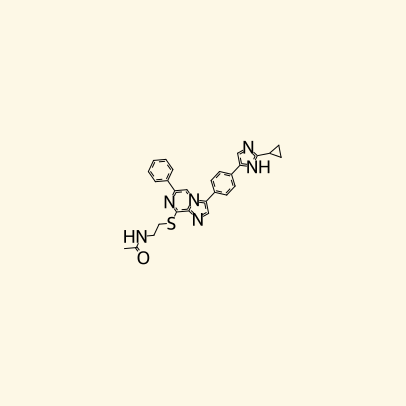 CC(=O)NCCSc1nc(-c2ccccc2)cn2c(-c3ccc(-c4cnc(C5CC5)[nH]4)cc3)cnc12